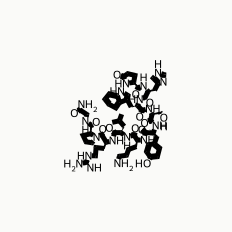 CC(C)C[C@H](NC(=O)[C@H](CCCCN)NC(=O)[C@H](Cc1ccc(O)cc1)NC(=O)[C@H](CO)NC(=O)[C@H](Cc1c[nH]c2ccccc12)NC(=O)[C@H](Cc1c[nH]cn1)NC(=O)[C@@H]1CCC(=O)N1)C(=O)N[C@@H](CCCNC(=N)N)C(=O)N1CCC[C@H]1C(=O)NCC(N)=O